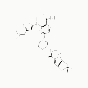 C[C@@H]1[C@H](NC(=O)c2cc3c(n2C)CC(C)(C)C3)CCCN1c1cnc(C(N)=O)c(Nc2cc(CN(C)C)ns2)n1